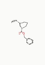 CCCCCCC1CCCC(C(=O)OCc2ccccc2)C1